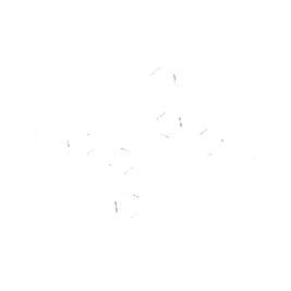 Cc1ccc(-c2cc(-c3ccc(C)cc3)cc(S(=O)(=O)c3cc(-c4ccc(C)cc4)cc(-c4ccc(C)cc4)c3)c2)cc1